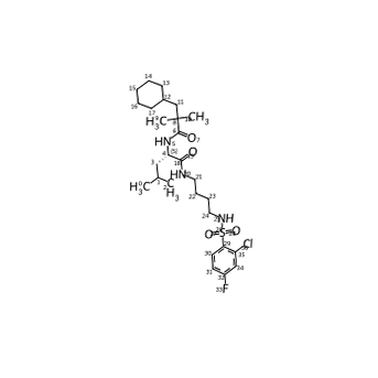 CC(C)C[C@H](NC(=O)C(C)(C)CC1CCCCC1)C(=O)NCCCCNS(=O)(=O)c1ccc(F)cc1Cl